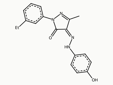 CCc1cccc(N2N=C(C)C(=NNc3ccc(O)cc3)C2=O)c1